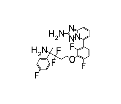 CC(N)(c1ccc(F)cc1)C(F)(F)CCOc1c(F)ccc(-c2cccc3nc(N)nn23)c1F